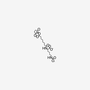 COC(=O)NCCCCC(NC(=O)CCCCCCC(=O)ON1C(=O)CCC1=O)C(=O)OC